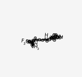 Cn1cc2c3cc(C(=O)NCCOCCOCCNC(=O)COc4ccc5c(c4)C(=O)N(C4CCC(=O)NC4=O)C5=O)ccc3n(-c3ccc(C(F)(F)F)cc3)c2n1